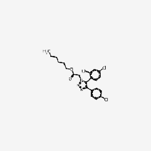 CCCCCCOC(=O)Cn1nnc(-c2ccc(Cl)cc2)c1-c1ccc(Cl)cc1Cl